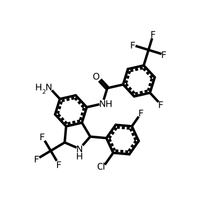 Nc1cc(NC(=O)c2cc(F)cc(C(F)(F)F)c2)c2c(c1)C(C(F)(F)F)NC2c1cc(F)ccc1Cl